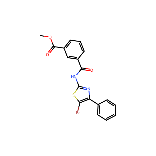 COC(=O)c1cccc(C(=O)Nc2nc(-c3ccccc3)c(Br)s2)c1